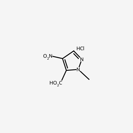 Cl.Cn1ncc([N+](=O)[O-])c1C(=O)O